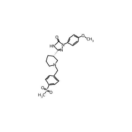 COc1ccc(-n2nc([C@H]3CCCN(Cc4ccc(S(C)(=O)=O)cc4)C3)[nH]c2=O)cc1